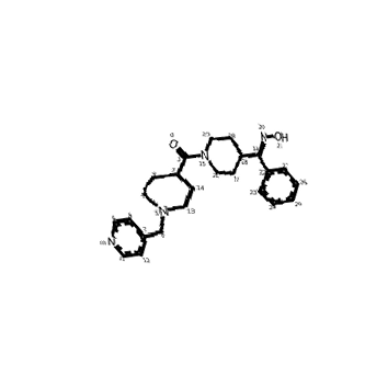 O=C(C1CCN(Cc2ccncc2)CC1)N1CCC(/C(=N/O)c2ccccc2)CC1